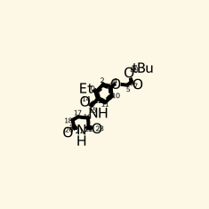 CCc1cc(OCC(=O)OC(C)(C)C)ccc1C(=O)NC1CCC(=O)NC1=O